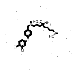 CB(O)CCCCC(N)(CCCN(C)Cc1ccc(Oc2ccc(Cl)c(Cl)c2)cc1)C(=O)O